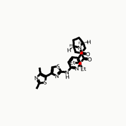 CCN(CC)C(=O)N1C[C@H]2CC[C@@H](C1)N2C(=O)c1ccc(Nc2nc(-c3sc(C)nc3C)cs2)nc1